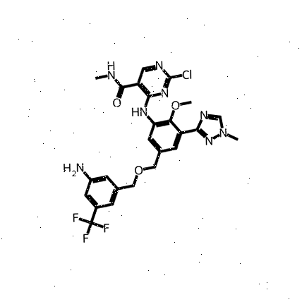 CNC(=O)c1cnc(Cl)nc1Nc1cc(COCc2cc(N)cc(C(F)(F)F)c2)cc(-c2ncn(C)n2)c1OC